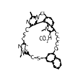 Cc1nc2c(n1C)-c1c(Cl)ccc3c(c(C(=O)O)n(C)c13)CCCOc1cc(cc3ccccc13)SCc1cc(nn1C)CSC2